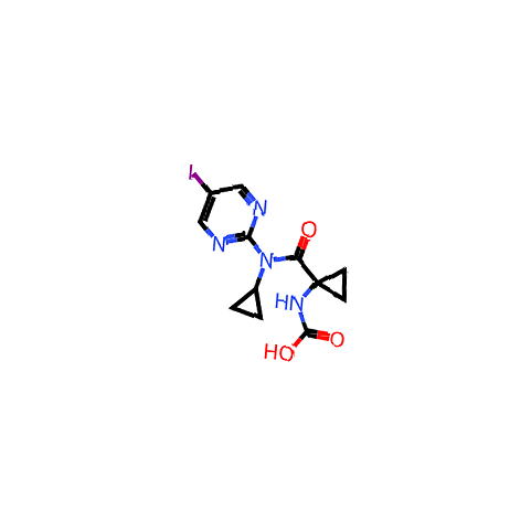 O=C(O)NC1(C(=O)N(c2ncc(I)cn2)C2CC2)CC1